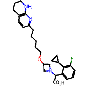 O=C(O)C(c1cccc(F)c1C1CC1)N1CC(OCCCCCc2ccc3c(n2)NCCC3)C1